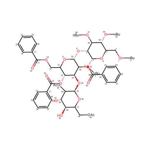 CCCCOCC1O[C@H](OCCCC)[C@H](O[C@H]2OC(COC(=O)c3ccccc3)[C@@H](OC(=O)c3ccccc3)[C@H](O[C@H]3OC(COC(C)=O)[C@@H](O)[C@H](O)C3OC(C)=O)C2OC(=O)c2ccccc2)C(OCCCC)[C@@H]1OCCCC